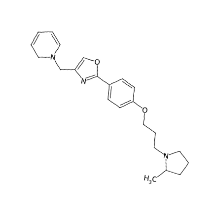 CC1CCCN1CCCOc1ccc(-c2nc(CN3C=CC=CC3)co2)cc1